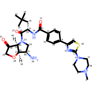 CN1CCN(c2nc(-c3ccc(C(=O)N[C@@H](CC(C)(C)C)C(=O)N4C[C@@H](N)[C@H]5OCC(=O)[C@H]54)cc3)cs2)CC1